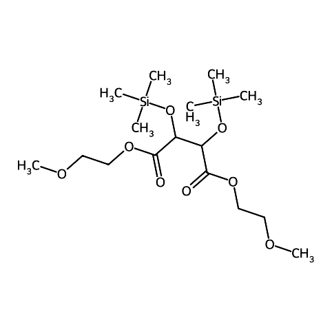 COCCOC(=O)C(O[Si](C)(C)C)C(O[Si](C)(C)C)C(=O)OCCOC